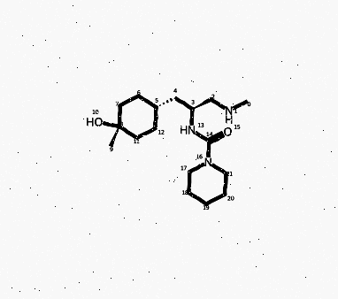 CNC[C@H](C[C@H]1CC[C@@](C)(O)CC1)NC(=O)N1CCCCC1